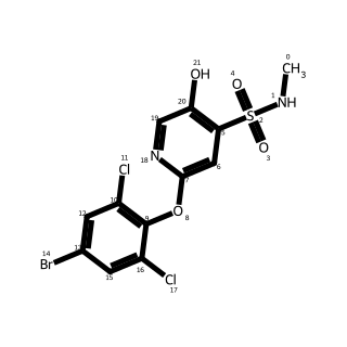 CNS(=O)(=O)c1cc(Oc2c(Cl)cc(Br)cc2Cl)ncc1O